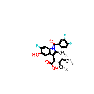 CCC(C)[C@H](C(=O)O)c1c(C)n(C(=O)c2ccc(F)c(F)c2)c2cc(F)c(O)cc12